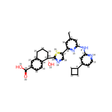 Cc1cc(Nc2cc(C3CCC3)ccn2)nc(-c2cnc([C@]3(O)CCCc4cc(C(=O)O)ccc43)s2)c1